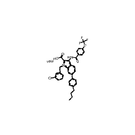 CCCCc1ccc(-c2ccc3c(NC(=O)c4ccc(OC(F)(F)F)cc4)c(C(=O)O)n(Cc4cccc(Cl)c4)c3c2)cc1.[NaH]